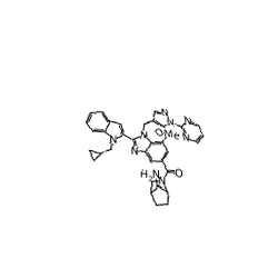 COc1cc(C(=O)N2CC3CCC2C3N)cc2nc(-c3cc4ccccc4n3CC3CC3)n(Cc3cnn(-c4ncccn4)c3)c12